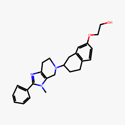 Cn1c(-c2ccccc2)nc2c1CN(C1CCc3ccc(OCCO)cc3C1)CC2